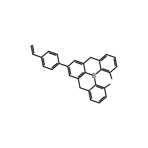 C=Cc1ccc(-c2cc3c4c(c2)Cc2cccc(C)c2B4c2c(C)cccc2C3)cc1